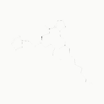 CCCCCCCCCCCCCCCCCC(=O)OCC1CCCN1C(=O)CC[C@@H](CCCCCCCCCCCCCC)OCc1ccccc1